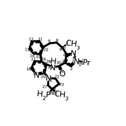 CC(C)n1cc2c(n1)[C@H](C)CCc1ccccc1-c1ccnc(N3CCC(C)(P)C3)c1NC2=O